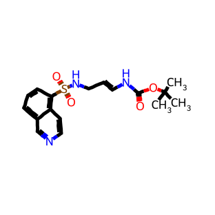 CC(C)(C)OC(=O)NC=CCNS(=O)(=O)c1cccc2cnccc12